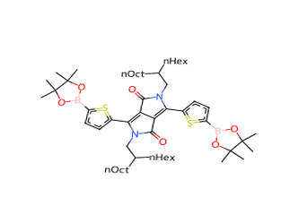 CCCCCCCCC(CCCCCC)CN1C(=O)C2=C(c3ccc(B4OC(C)(C)C(C)(C)O4)s3)N(CC(CCCCCC)CCCCCCCC)C(=O)C2=C1c1ccc(B2OC(C)(C)C(C)(C)O2)s1